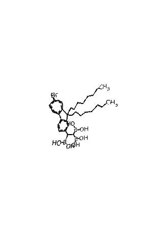 CCCCCCCCC1(CCCCCCCC)c2cc(Br)ccc2-c2ccc(C(B(O)O)C(B(O)O)B(O)O)cc21